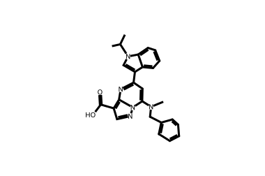 CC(C)n1cc(-c2cc(N(C)Cc3ccccc3)n3ncc(C(=O)O)c3n2)c2ccccc21